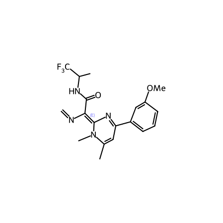 C=N/C(C(=O)NC(C)C(F)(F)F)=C1/N=C(c2cccc(OC)c2)C=C(C)N1C